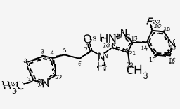 Cc1ccc(CCC(=O)Nc2[nH]nc(-c3ccncc3F)c2C)cn1